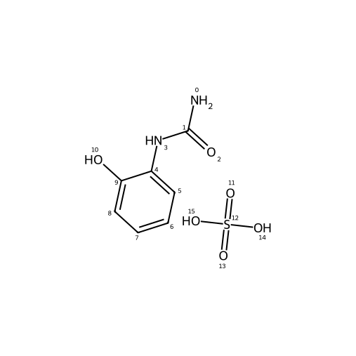 NC(=O)Nc1ccccc1O.O=S(=O)(O)O